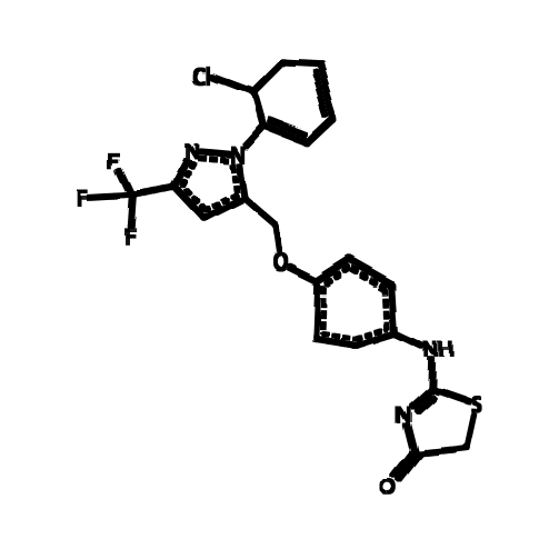 O=C1CSC(Nc2ccc(OCc3cc(C(F)(F)F)nn3C3=CC=CCC3Cl)cc2)=N1